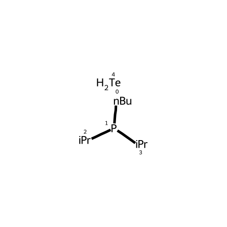 CCCCP(C(C)C)C(C)C.[TeH2]